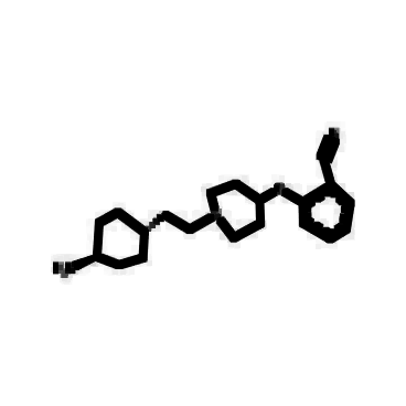 N#Cc1ccccc1OC1CCN(CC[C@H]2CC[C@H](N)CC2)CC1